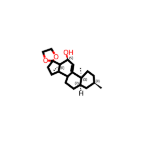 C[C@@H]1CC[C@]2(C)C3=C[C@H](O)[C@@]4(C)C(CCC45OCCO5)C3CC[C@@H]2C1